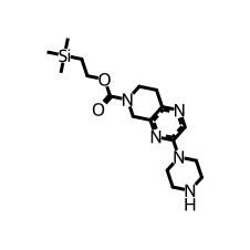 C[Si](C)(C)CCOC(=O)N1CCc2ncc(N3CCNCC3)nc2C1